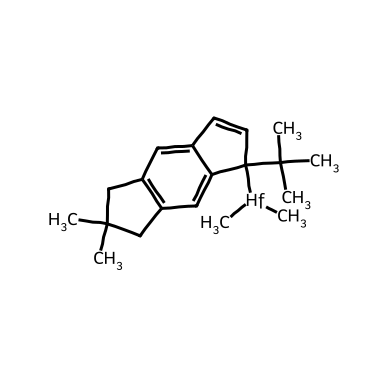 [CH3][Hf]([CH3])[C]1(C(C)(C)C)C=Cc2cc3c(cc21)CC(C)(C)C3